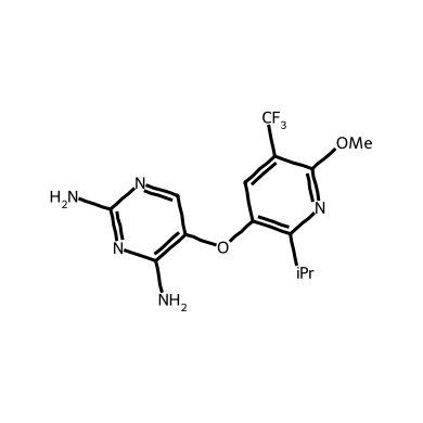 COc1nc(C(C)C)c(Oc2cnc(N)nc2N)cc1C(F)(F)F